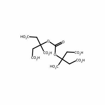 O=C(O)CC(CC(=O)O)(OC(=O)OC(CC(=O)O)(CC(=O)O)C(=O)O)C(=O)O